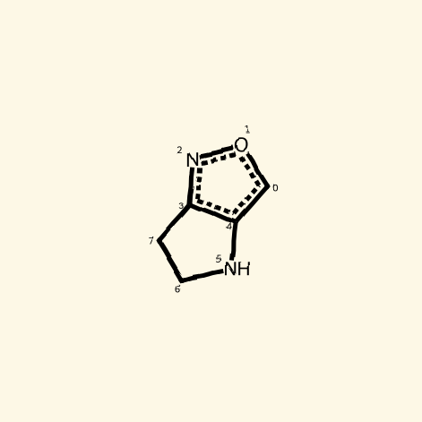 c1onc2c1NCC2